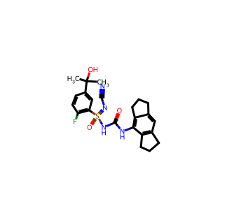 CC(C)(O)c1ccc(F)c(S(=O)(=NC#N)NC(=O)Nc2c3c(cc4c2CCC4)CCC3)c1